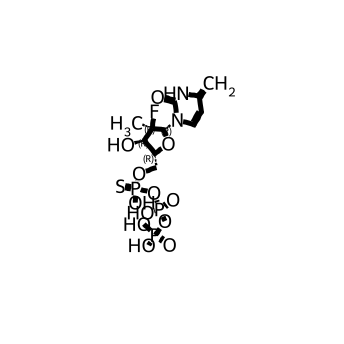 C=C1C=CN([C@@H]2O[C@H](COP(O)(=S)OP(=O)(O)OP(=O)(O)O)[C@@H](O)[C@@]2(C)F)C(=O)N1